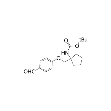 CC(C)(C)OC(=O)NC1(COc2ccc(C=O)cc2)CCCC1